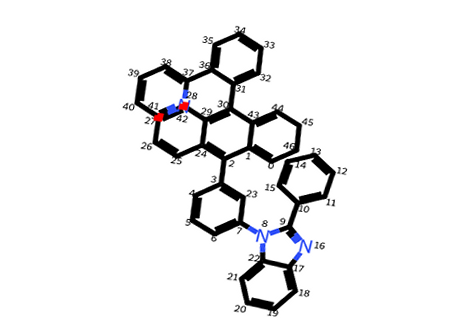 C1=c2c(-c3cccc(-n4c(-c5ccccc5)nc5ccccc54)c3)c3ccccc3c(-c3ccccc3-c3ccccn3)c2=CCC1